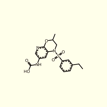 CCc1cccc(S(=O)(=O)N2CC(C)Oc3ncc(NC(=O)O)cc32)c1